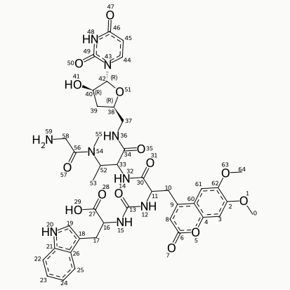 COc1cc2oc(=O)cc(CC(NC(=O)NC(Cc3c[nH]c4ccccc34)C(=O)O)C(=O)NC(C(=O)NC[C@H]3C[C@@H](O)[C@H](n4ccc(=O)[nH]c4=O)O3)C(C)N(C)C(=O)CN)c2cc1OC